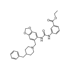 CCOC(=O)c1cccc(NC(=O)Nc2cc3c(cc2CN2CCC(Cc4ccccc4)CC2)OCO3)c1